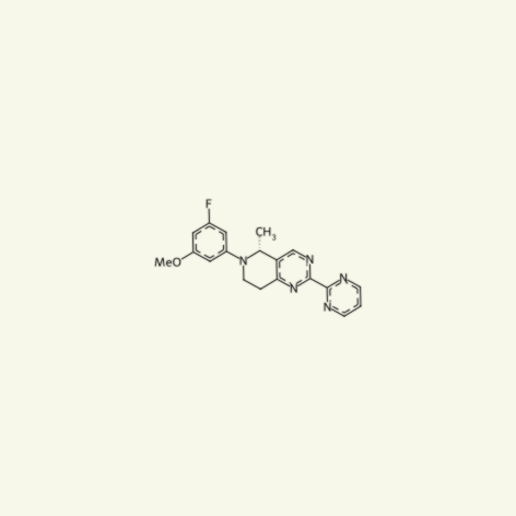 COc1cc(F)cc(N2CCc3nc(-c4ncccn4)ncc3[C@H]2C)c1